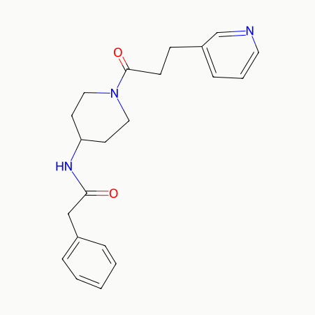 O=C(Cc1ccccc1)NC1CCN(C(=O)CCc2cccnc2)CC1